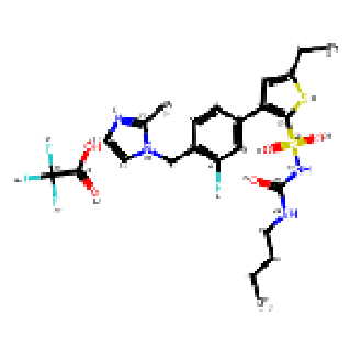 CC(C)Cc1cc(-c2ccc(Cn3ccnc3C(C)C)c(F)c2)c(S(=O)(=O)NC(=O)NCCCC(F)(F)F)s1.O=C(O)C(F)(F)F